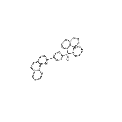 O=P(c1ccccc1)(c1ccc(-c2ccc3ccc4ccccc4c3n2)cc1)c1cccc2ccccc12